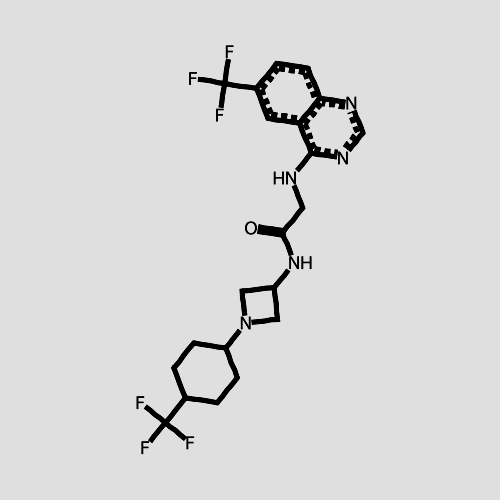 O=C(CNc1ncnc2ccc(C(F)(F)F)cc12)NC1CN(C2CCC(C(F)(F)F)CC2)C1